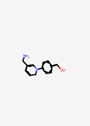 NCC1=CN(c2ccc(CO)cc2)CC=C1